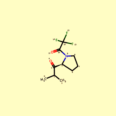 CC(C)C(=O)[C@@H]1CCCN1C(=O)C(F)(F)F